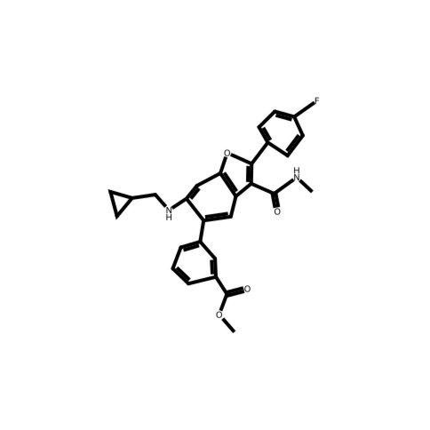 CNC(=O)c1c(-c2ccc(F)cc2)oc2cc(NCC3CC3)c(-c3cccc(C(=O)OC)c3)cc12